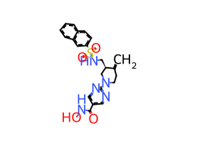 C=C1CCN(c2ncc(C(=O)NO)cn2)C[C@H]1CNS(=O)(=O)c1ccc2ccccc2c1